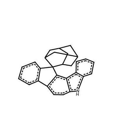 c1ccc2c(c1)-c1ccc3[nH]c4ccccc4c3c1C21C2CC3CC(C2)CC1C3